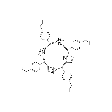 ICc1ccc(-c2c3nc(c(-c4ccc(CI)cc4)c4ccc([nH]4)c(-c4ccc(CI)cc4)c4nc(c(-c5ccc(CI)cc5)c5ccc2[nH]5)C=C4)C=C3)cc1